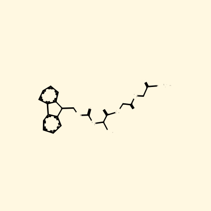 CCC(C)C(NC(=O)OCC1c2ccccc2-c2ccccc21)C(=O)NCC(=O)NCC(=O)OC